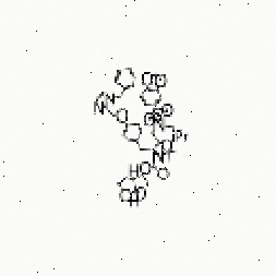 CC(C)CN(C[C@H]1OC(C)(C)N(C(=O)O[C@H]2CO[C@H]3OCC[C@H]32)[C@H]1Cc1ccc(OCc2nccn2Cc2ccccc2)cc1)S(=O)(=O)c1ccc2c(c1)OCO2